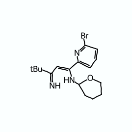 CC(C)(C)C(=N)/C=C(\NC1CCCCO1)c1cccc(Br)n1